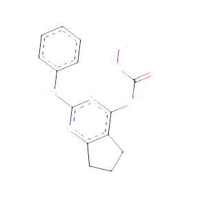 CC(C)OC(=O)Oc1nc(Nc2ccccc2)nc2c1CCC2